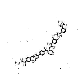 CC(=O)Nc1ccc2c(c1)OCc1cc(-c3ccc(C(=O)N4CCOCC4CC(=O)Nc4ccc5c(c4)OCc4cc(-c6ccnc(NC(C)=O)c6)nn4C5)cc3)nn1C2